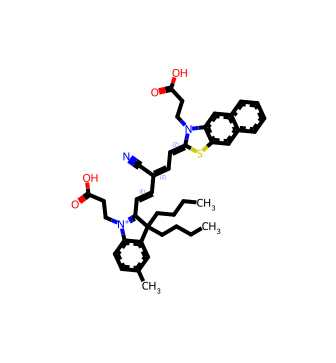 CCCCC1(CCCC)C(/C=C/C(C#N)=C/C=C2\Sc3cc4ccccc4cc3N2CCC(=O)O)=[N+](CCC(=O)O)c2ccc(C)cc21